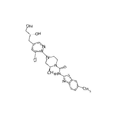 Cc1ccc2nc(NC(=O)N3CCN(c4ncc(C[C@@H](O)CO)cc4Cl)C[C@@H]3C)sc2c1